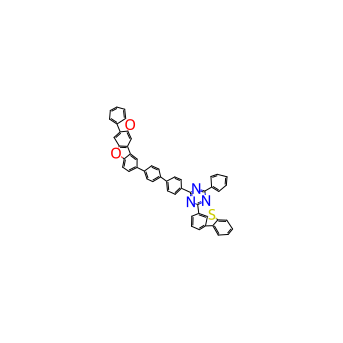 c1ccc(-c2nc(-c3ccc(-c4ccc(-c5ccc6oc7cc8c(cc7c6c5)oc5ccccc58)cc4)cc3)nc(-c3cccc4c3sc3ccccc34)n2)cc1